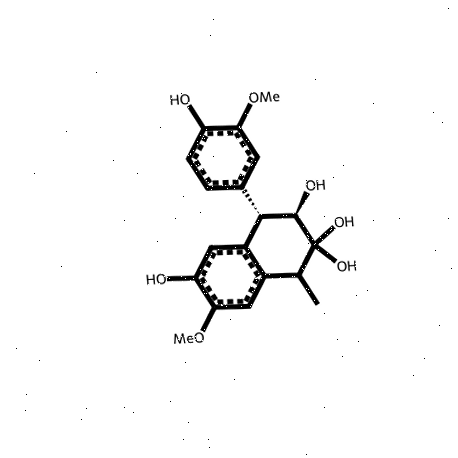 COc1cc([C@H]2c3cc(O)c(OC)cc3C(C)C(O)(O)[C@@H]2O)ccc1O